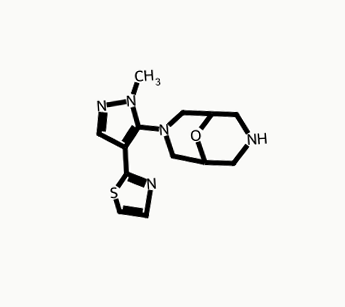 Cn1ncc(-c2nccs2)c1N1CC2CNCC(C1)O2